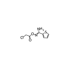 NC(=NOC(=O)CCl)c1cccs1